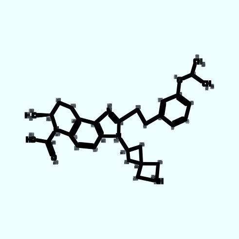 CC(C)Oc1cccc(CCc2nc3c4c(ccc3n2C2CC3(CNC3)C2)N(C(=O)O)[C@@H](C)CC4)c1